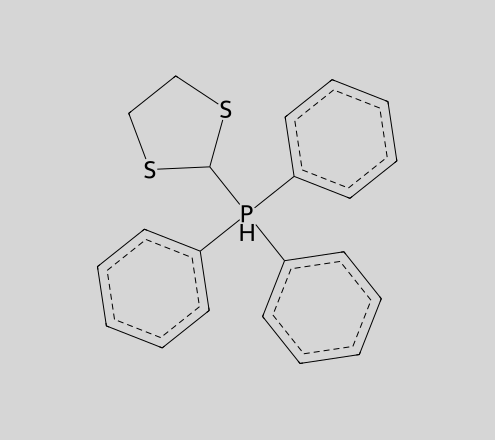 c1ccc([PH](c2ccccc2)(c2ccccc2)C2SCCS2)cc1